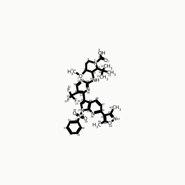 COC1CCN(C(=O)O)C(C(C)(C)C)C1Nc1ncc(C(F)(F)F)c(-c2cn(S(=O)(=O)c3ccccc3)c3nc(-c4c(C)noc4C)ccc23)n1